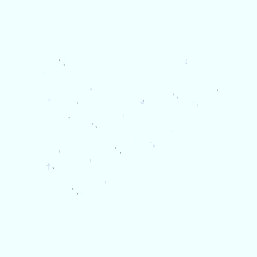 C=C=C1NC=Nc2cc(-c3ccncc3)nc(Nc3ccc(N4CCOCC4)cc3)c21